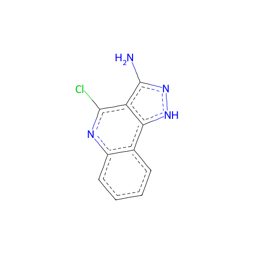 Nc1n[nH]c2c1c(Cl)nc1ccccc12